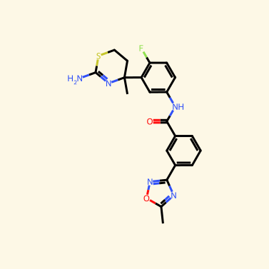 Cc1nc(-c2cccc(C(=O)Nc3ccc(F)c(C4(C)CCSC(N)=N4)c3)c2)no1